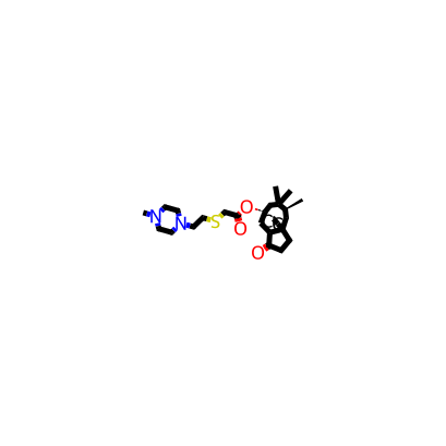 C[C@H]1CC23CCCC(C2C(=O)CC3)[C@H](OC(=O)CSCCN2CCN(C)CC2)CC1(C)C